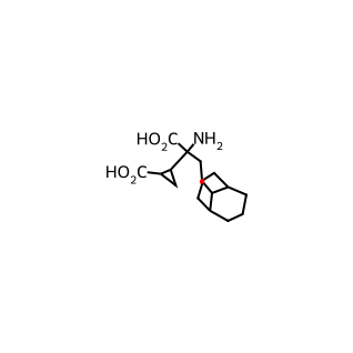 NC(CCC1C2CCCC1CCC2)(C(=O)O)C1CC1C(=O)O